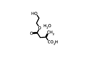 C=C(CC(=O)OCCO)C(=O)O.O